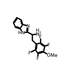 COc1c(F)c(F)c(CC(N)c2nc3ccccc3[nH]2)c(F)c1F